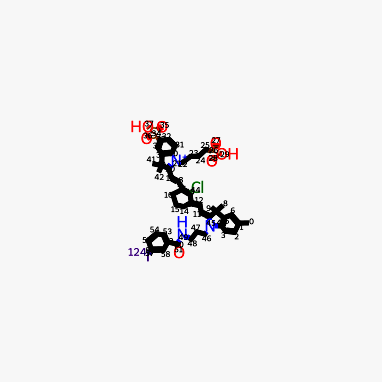 Cc1ccc2c(c1)C(C)(C)/C(=C\C=C1/CCCC(/C=C/C3=[N+](CCCCS(=O)(=O)O)c4ccc(S(=O)(=O)O)cc4C3(C)C)=C1Cl)N2CCCNC(=O)c1cccc([124I])c1